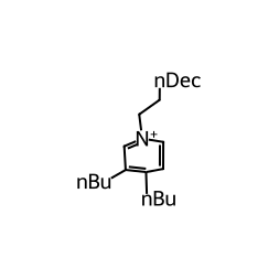 CCCCCCCCCCCC[n+]1ccc(CCCC)c(CCCC)c1